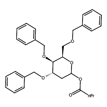 CCCC(=O)OC1C[C@H](OCc2ccccc2)[C@@H](OCc2ccccc2)[C@@H](COCc2ccccc2)O1